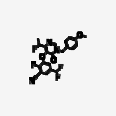 COc1ccc(Cn2cnc(C(C)F)c(Oc3cc(C(F)F)cc(C#N)c3F)c2=O)cc1